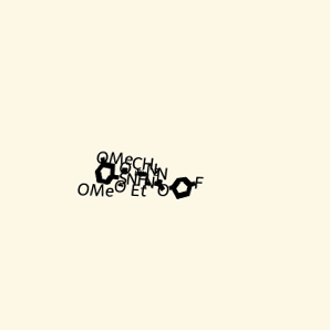 CCn1c(Oc2ccc(F)cc2)nnc1[C@@H](C)NS(=O)(=O)c1cc(OC)ccc1OC